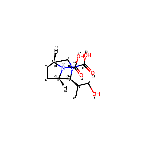 CC(CO)[C@H]1[C@@H]2CC[C@H](CN1C(=O)O)N2C(=O)O